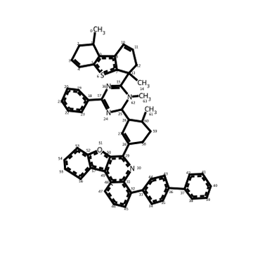 CC1CC=Cc2sc3c(c21)C=CCC3(C)C1=NC(c2ccccc2)=NC(C2C=C(c3nc4c(-c5ccc(-c6ccccc6)cc5)cccc4c4c3oc3ccccc34)CCC2C)N1C